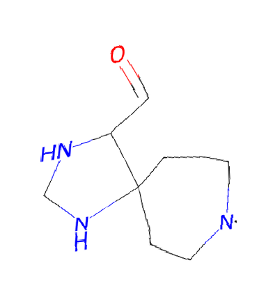 O=CC1NCNC12CC[N]CC2